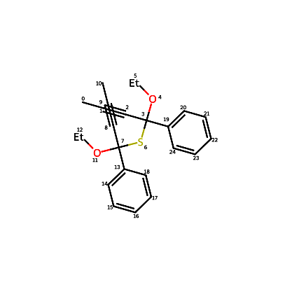 CC#CC(OCC)(SC(C#CC)(OCC)c1ccccc1)c1ccccc1